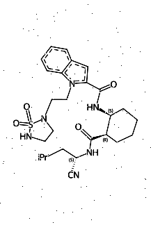 CC(C)C[C@@H](C#N)NC(=O)[C@@H]1CCCC[C@@H]1NC(=O)c1cc2ccccc2n1CCN1CCNS1(=O)=O